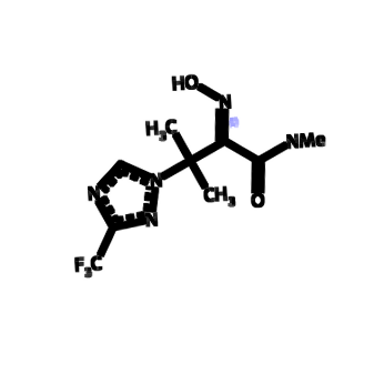 CNC(=O)/C(=N/O)C(C)(C)n1cnc(C(F)(F)F)n1